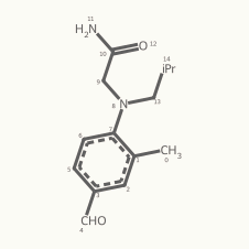 Cc1cc(C=O)ccc1N(CC(N)=O)CC(C)C